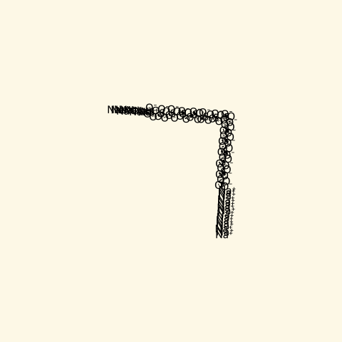 O=S(=O)([O-])[O-].O=S(=O)([O-])[O-].O=S(=O)([O-])[O-].O=S(=O)([O-])[O-].O=S(=O)([O-])[O-].O=S(=O)([O-])[O-].O=S(=O)([O-])[O-].O=S(=O)([O-])[O-].O=S(=O)([O-])[O-].O=S(=O)([O-])[O-].O=S(=O)([O-])[O-].O=S(=O)([O-])[O-].O=S(=O)([O-])[O-].O=S(=O)([O-])[O-].[Na+].[Na+].[Na+].[Na+].[Na+].[Na+].[Na+].[Na+].[Na+].[Na+].[Na+].[Na+].[Na+].[Na+].[Na+].[Na+].[Na+].[Na+].[Na+].[Na+].[Na+].[Na+].[Na+].[Na+].[Na+].[Na+].[Na+].[Na+]